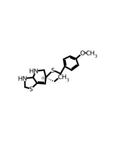 CC[C@]1(SCc2ccc(OC)cc2)C=C2SCNC2NC1